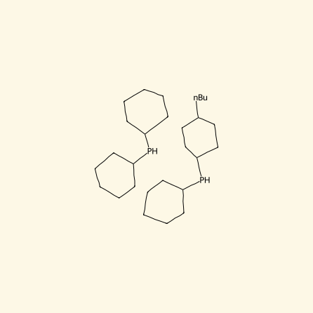 C1CCC(PC2CCCCC2)CC1.CCCCC1CCC(PC2CCCCC2)CC1